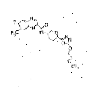 O=C(N[C@H]1CC[C@H](c2nnc(OCCOC(F)(F)F)o2)OC1)c1cnc2cc(F)c(C(F)(F)F)cc2n1